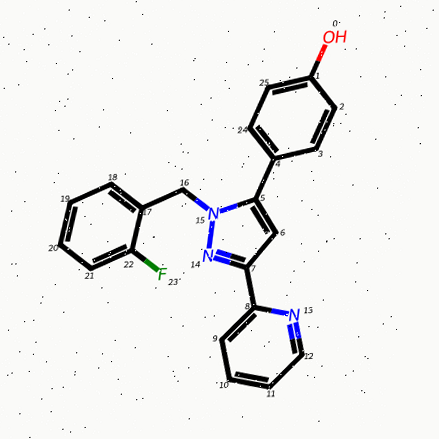 Oc1ccc(-c2cc(-c3ccccn3)nn2Cc2ccccc2F)cc1